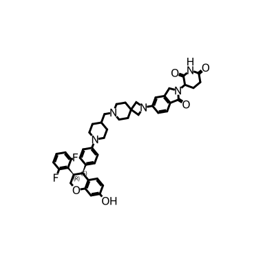 O=C1CCC(N2Cc3cc(N4CC5(CCN(CC6CCN(c7ccc([C@H]8c9ccc(O)cc9OC[C@H]8c8c(F)cccc8F)cc7)CC6)CC5)C4)ccc3C2=O)C(=O)N1